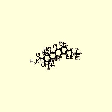 C=C1C(C(N)=O)=C(O)[C@@H](N(C)C)[C@@H]2C[C@@H]3Cc4c(F)c(CN(CC)C(C)(C)CC)cc(O)c4C(=O)C3=C(O)[C@]12O